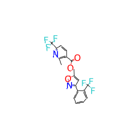 Cc1nc(C(F)(F)F)ccc1C(=O)OCc1cc(-c2ccccc2C(F)(F)F)no1